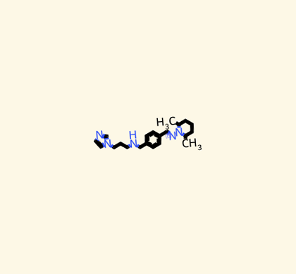 CC1CCCC(C)N1/N=C/c1ccc(CNCCCn2ccnc2)cc1